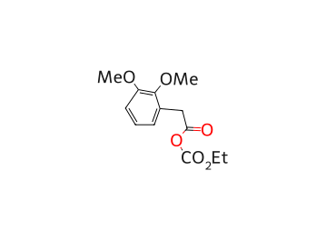 CCOC(=O)OC(=O)Cc1cccc(OC)c1OC